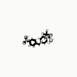 C[C@@H]1CN(Cc2ccc([N+](=O)[O-])cc2)CC[N+]1(C(=O)[O-])C(C)(C)C